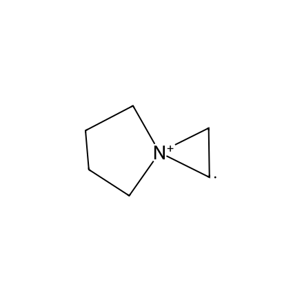 [CH]1C[N+]12CCCC2